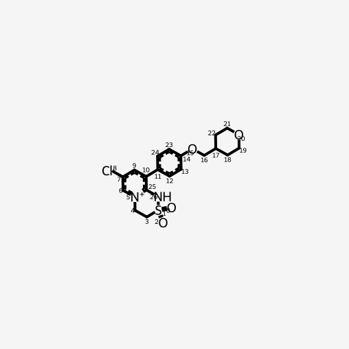 O=S1(=O)CC[n+]2cc(Cl)cc(-c3ccc(OCC4CCOCC4)cc3)c2N1